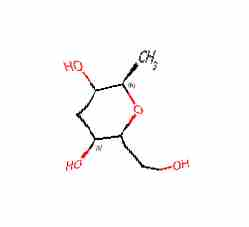 C[C@H]1OC(CO)[C@@H](O)CC1O